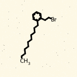 CCCCCCCCCCCc1ccccc1CCBr